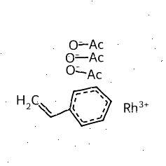 C=Cc1ccccc1.CC(=O)[O-].CC(=O)[O-].CC(=O)[O-].[Rh+3]